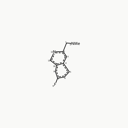 CNCc1cc2ccc(F)cc2cn1